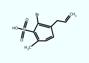 C=CCc1ccc(C)c(S(=O)(=O)O)c1Br